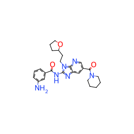 Nc1cccc(C(=O)Nc2nc3cc(C(=O)N4CCCCC4)cnc3n2CCC2CCCO2)c1